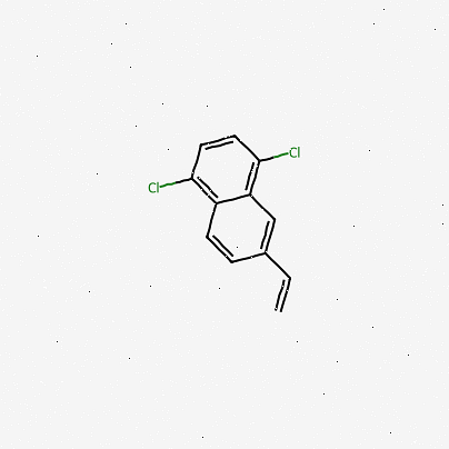 C=Cc1ccc2c(Cl)ccc(Cl)c2c1